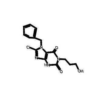 O=c1[nH]c2nc(Cl)n(Cc3ccccc3)c2c(=O)n1CCCO